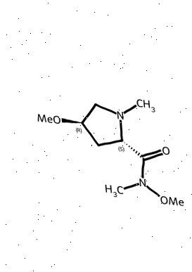 CO[C@@H]1C[C@@H](C(=O)N(C)OC)N(C)C1